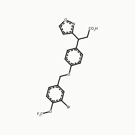 O=C(O)CC(c1ccc(OCc2ccc(OC(F)(F)F)c(Br)c2)cc1)c1ccon1